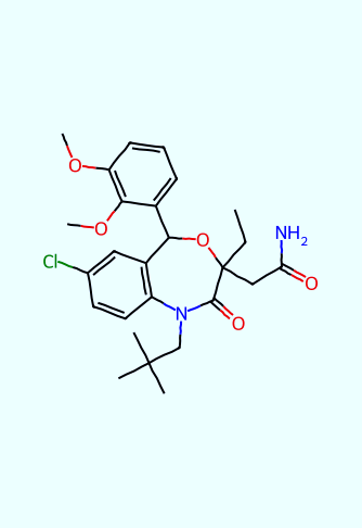 CCC1(CC(N)=O)OC(c2cccc(OC)c2OC)c2cc(Cl)ccc2N(CC(C)(C)C)C1=O